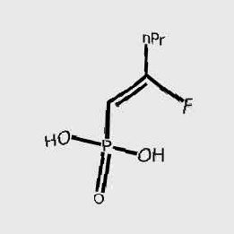 CCCC(F)=CP(=O)(O)O